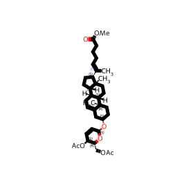 COC(=O)CCC/C=C(\C)[C@H]1CC[C@H]2[C@@H]3CC=C4C[C@@H](O[C@@H]5C=C[C@H](OC(C)=O)[C@@H](COC(C)=O)O5)CC[C@]4(C)[C@H]3CC[C@]12C